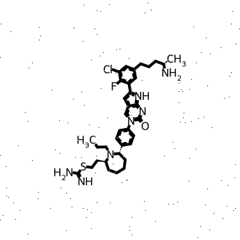 CCCN1[C@H](CCSC(=N)N)CCCC[C@H]1c1ccc(-n2cc3cc(-c4cc(CCC[C@H](C)N)cc(Cl)c4F)[nH]c3nc2=O)cc1